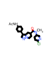 CC(=O)Nc1ccc(-c2cnn3ccc(C(=O)N(C)c4ccc(Cl)nc4)cc23)cc1